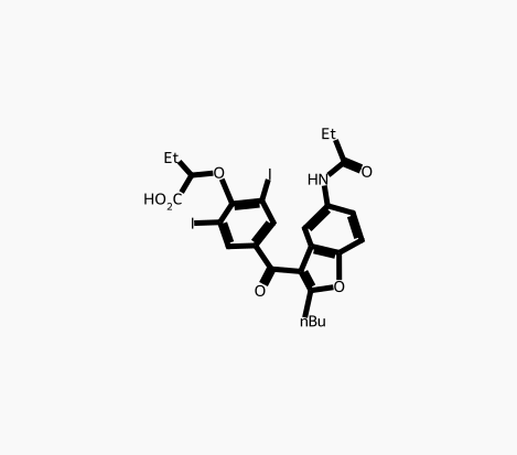 CCCCc1oc2ccc(NC(=O)CC)cc2c1C(=O)c1cc(I)c(OC(CC)C(=O)O)c(I)c1